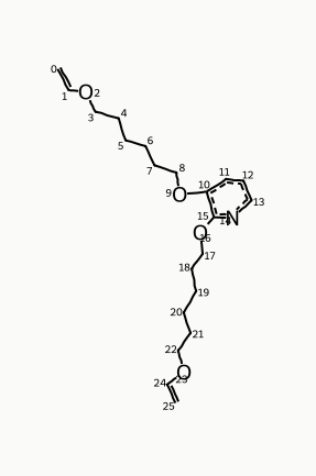 C=COCCCCCCOc1cccnc1OCCCCCCOC=C